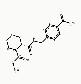 COC(=O)c1ccc(CNC(=O)[C@H]2COCCN2C(=O)OC(C)(C)C)cn1